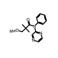 COCC(C)(C)C(=O)N(c1ccccc1)c1cnccn1